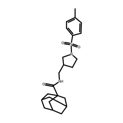 Cc1ccc(S(=O)(=O)N2CCC(CNC(=O)C34CC5CC(CC(C5)C3)C4)C2)cc1